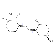 C=C1CC[C@@H](O)C/C1=C/C=C1\CCC[C@](C)(C(C)=O)C1CC